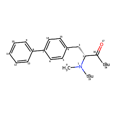 CN([C@H](Cc1ccc(-c2ccccc2)cc1)C(=O)C(C)(C)C)C(C)(C)C